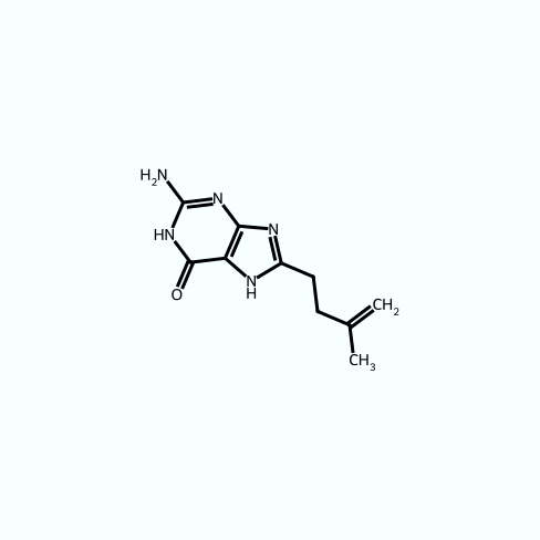 C=C(C)CCc1nc2nc(N)[nH]c(=O)c2[nH]1